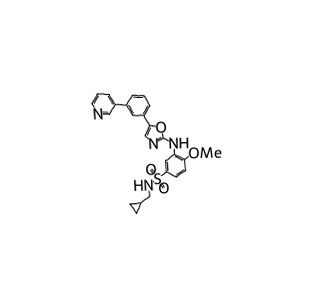 COc1ccc(S(=O)(=O)NCC2CC2)cc1Nc1ncc(-c2cccc(-c3cccnc3)c2)o1